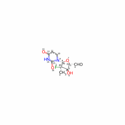 C[C@@]1(F)[C@H](O)[C@@H](C=O)O[C@H]1n1ccc(=O)[nH]c1=O